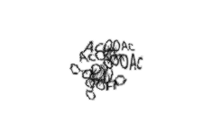 CC(=O)OC[C@H]1O[C@@H](OC[C@H]2O[C@H](OCc3ccccc3)[C@H](OCc3ccccc3)[C@@H](O)[C@@H]2OCc2ccccc2)[C@H](OC(C)=O)[C@@H](OC(C)=O)[C@@H]1OC(C)=O